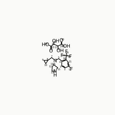 Fc1ccc(CN(CC2CC2)[C@H]2CCNC2)c(C(F)(F)F)c1.O=C(O)C(O)C(O)C(=O)O